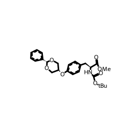 COC(=O)[C@H](Cc1ccc(O[C@H]2CO[C@@H](c3ccccc3)OC2)cc1)NC(=O)OC(C)(C)C